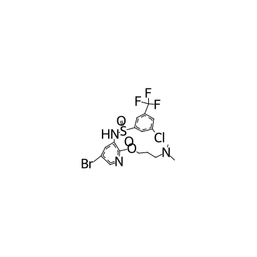 CN(C)CCCOc1ncc(Br)cc1NS(=O)(=O)c1cc(Cl)cc(C(F)(F)F)c1